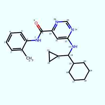 Cc1ccccc1NC(=O)c1cc(NC(C2CCCCC2)C2CC2)ncn1